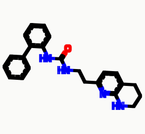 O=C(NCCc1ccc2c(n1)NCCC2)Nc1ccccc1-c1ccccc1